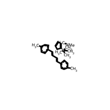 CNC.Cc1ccc(C=CC=Cc2ccc(C)cc2)cc1.[CH3][Ti]([CH3])([CH3])([CH3])[C]1=CC=CC1